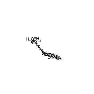 C=C(C)C(=O)OCCCCCCCCCCOc1ccc(C(=O)Oc2ccc(-c3ccc(CC)cn3)cc2)cc1